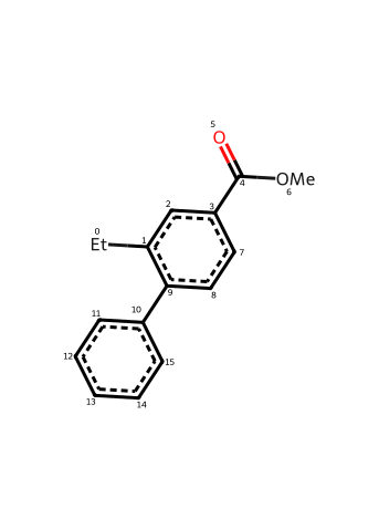 CCc1cc(C(=O)OC)ccc1-c1ccccc1